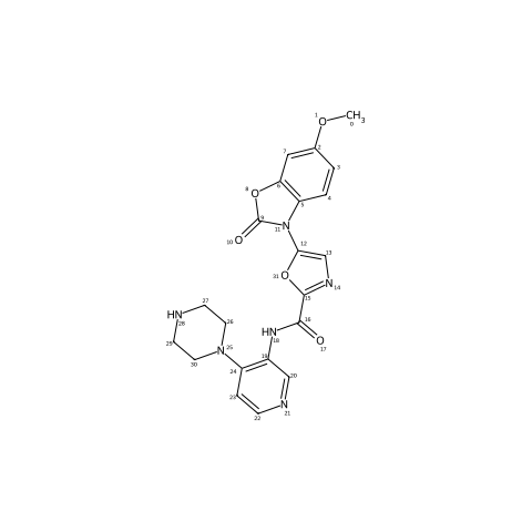 COc1ccc2c(c1)oc(=O)n2-c1cnc(C(=O)Nc2cnccc2N2CCNCC2)o1